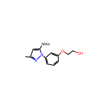 CNc1cc(C)nn1-c1cccc(OCCO)c1